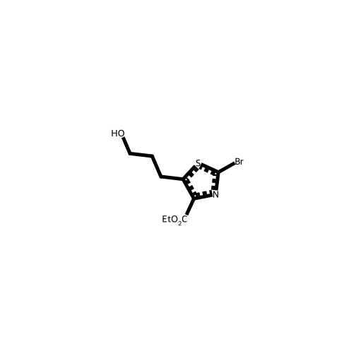 CCOC(=O)c1nc(Br)sc1CCCO